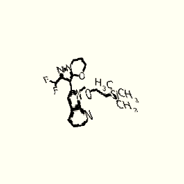 C[Si](C)(C)CCOCn1c(-c2c(C(F)F)nn3c2OCCC3)cc2cccnc21